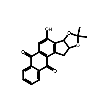 CC1(C)OC2Cc3c4c(cc(O)c3C2O1)C(=O)c1ccccc1C4=O